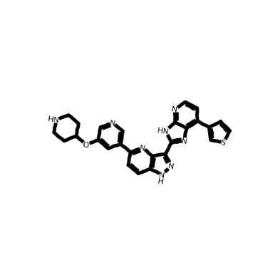 c1cc(-c2ccsc2)c2nc(-c3n[nH]c4ccc(-c5cncc(OC6CCNCC6)c5)nc34)[nH]c2n1